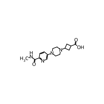 CNC(=O)c1ccc(N2CCN(C3CC(C(=O)O)C3)CC2)cn1